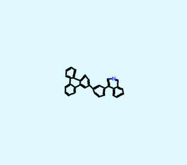 c1cc(-c2ccc3c4ccccc4c4ccccc4c3c2)cc(-c2cncc3ccccc23)c1